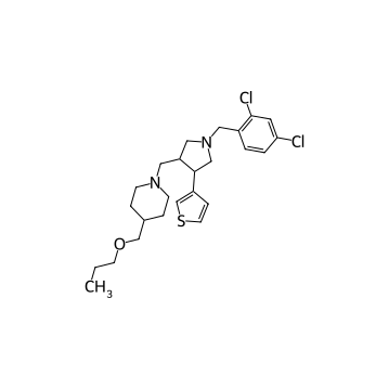 CCCOCC1CCN(CC2CN(Cc3ccc(Cl)cc3Cl)CC2c2ccsc2)CC1